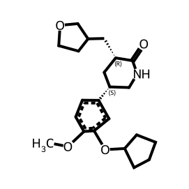 COc1ccc([C@H]2CNC(=O)[C@@H](CC3CCOC3)C2)cc1OC1CCCC1